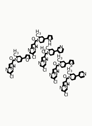 CC1CC(c2ccc[nH]2)=CCN1C(=O)c1cc2ncc(Cl)cn2n1.CC1CC(c2cccnc2)=CCN1C(=O)c1cc2ncc(Cl)cn2n1.CC1CC(c2ccco2)=CCN1C(=O)c1cc2ncc(Cl)cn2n1.CC1CC(c2cccs2)=CCN1C(=O)c1cc2ncc(Cl)cn2n1.CC1CC(c2ccncc2)=CCN1C(=O)c1cc2ncc(Cl)cn2n1